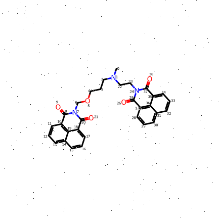 CN(CCCOCN1C(=O)c2cccc3cccc(c23)C1=O)CCN1C(=O)c2cccc3cccc(c23)C1=O